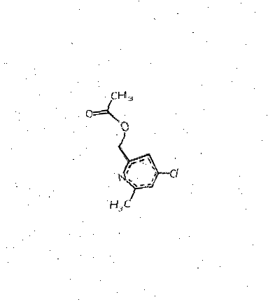 CC(=O)OCc1cc(Cl)cc(C)n1